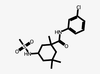 CC1(C)CC(NS(C)(=O)=O)CC(C)(C(=O)Nc2cccc(Cl)c2)C1